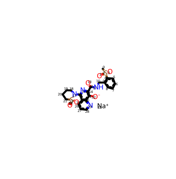 CS(=O)(=O)c1ccccc1CNC(=O)c1nc(N2CCCCS2(=O)=O)c2cccnc2c1[O-].[Na+]